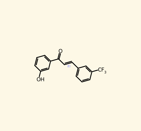 O=C(/C=C/c1cccc(C(F)(F)F)c1)c1cccc(O)c1